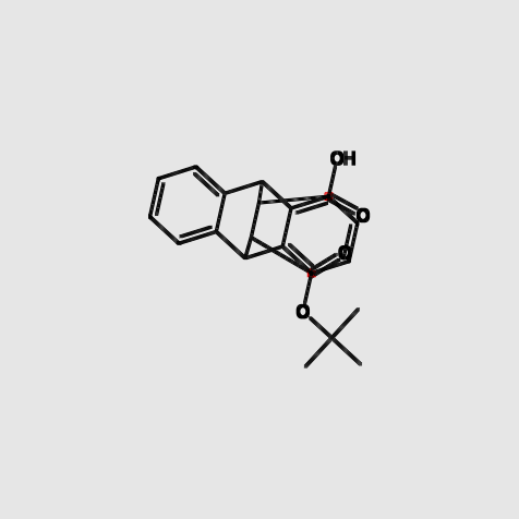 CC(C)(C)OC(=O)C1C2c3ccccc3C(c3ccccc32)C1C(=O)O